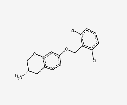 N[C@@H]1COc2cc(OCc3c(Cl)cccc3Cl)ccc2C1